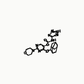 O=C(Nc1nn[nH]n1)Oc1cnc(N2CCOCC2)nc1OC1C2CC3CC(C2)CC1C3